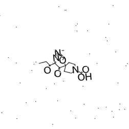 CCC(=O)C(=[N+]=[N-])C(=O)C1(OC)CCN(C(=O)O)CC1